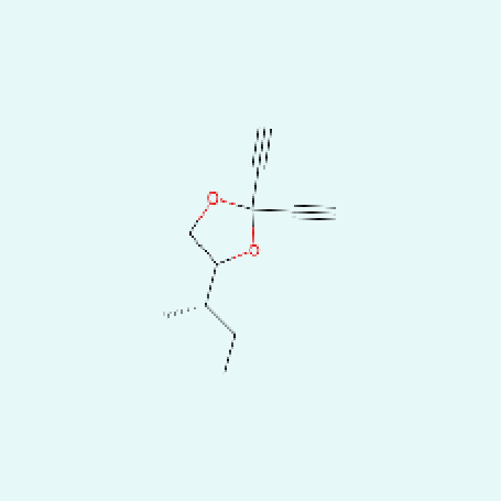 C#CC1(C#C)OCC([C@@H](C)CC)O1